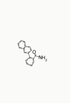 NC(=O)c1ccccc1-c1ccc2ccccc2c1